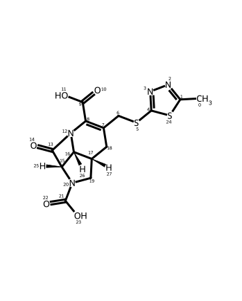 Cc1nnc(SCC2=C(C(=O)O)N3C(=O)[C@@H]4[C@H]3[C@H](C2)CN4C(=O)O)s1